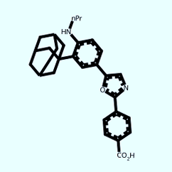 CCCNc1ccc(-c2cnc(-c3ccc(C(=O)O)cc3)o2)cc1C12CC3CC(CC(C3)C1)C2